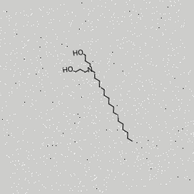 CCCCCCCCCCCCCCCCCN(CCCO)CCCO